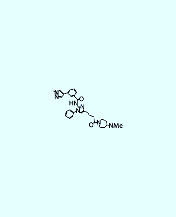 CNC1CCN(C(=O)CCCc2cn(-c3ccccc3)c(NC(=O)c3cccc(-c4cnn(C)c4)c3)n2)CC1